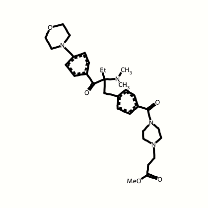 CCC(Cc1ccc(C(=O)N2CCN(CCC(=O)OC)CC2)cc1)(C(=O)c1ccc(N2CCOCC2)cc1)N(C)C